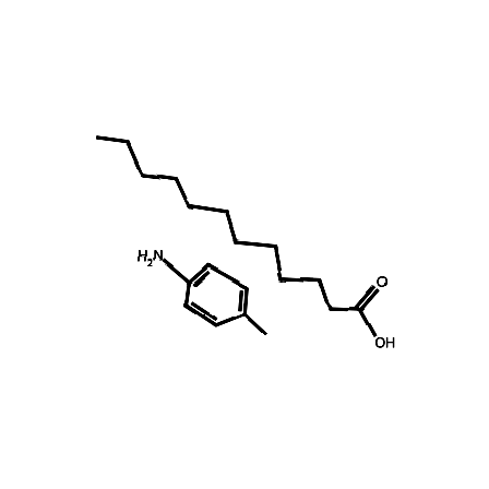 CCCCCCCCCCCC(=O)O.Cc1ccc(N)cc1